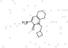 Bc1cc2c(n(CC3CCC3)c1=O)CCCC2